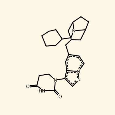 O=C1CCN(c2cnn3ccc(CC4CC5CCC(C4)N5CC4CCCCC4)cc23)C(=O)N1